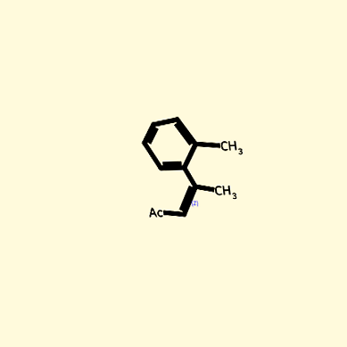 CC(=O)/C=C(/C)c1ccccc1C